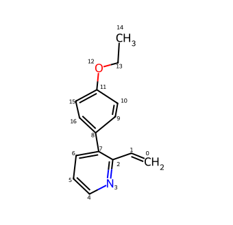 C=Cc1ncccc1-c1ccc(OCC)cc1